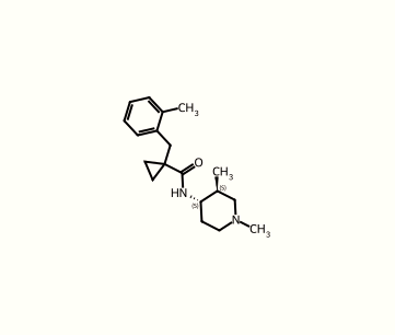 Cc1ccccc1CC1(C(=O)N[C@H]2CCN(C)C[C@@H]2C)CC1